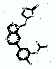 O=C1NC[C@H](Cn2ncc3ncc(-c4ccc(Cl)c(OC(F)F)c4)cc32)O1